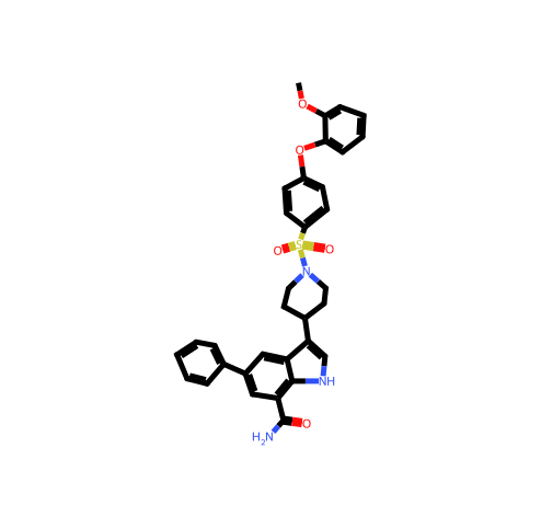 COc1ccccc1Oc1ccc(S(=O)(=O)N2CCC(c3c[nH]c4c(C(N)=O)cc(-c5ccccc5)cc34)CC2)cc1